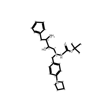 CC(C)(C)OC(=O)NN(Cc1ccc(N2CCCC2)cc1)CC(O)C(N)Cc1ccccc1